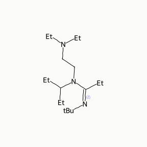 CC/C(=N/C(C)(C)C)N(CCN(CC)CC)C(CC)CC